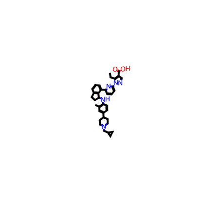 CCc1c(C(=O)O)cnn1-c1cccc(-c2cccc3c2C(Nc2ccc(C4CCN(CC5CC5)CC4)cc2C)CC3)n1